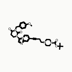 COc1ccc(CN2C(=O)CCN(c3cnc4cc(C#CCCN5CCN(C(=O)OC(C)(C)C)CC5)ccn34)C2=O)cc1